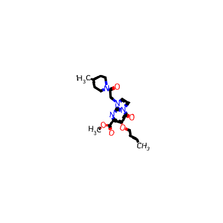 CCCCOc1c(C(=O)OC)nc2n(CC(=O)N3CCC(C)CC3)ccn2c1=O